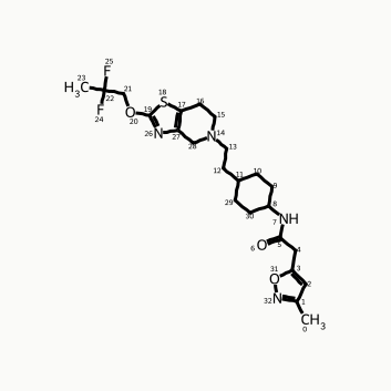 Cc1cc(CC(=O)NC2CCC(CCN3CCc4sc(OCC(C)(F)F)nc4C3)CC2)on1